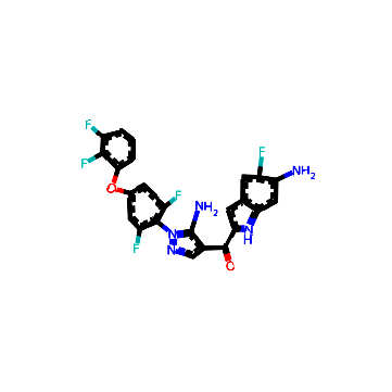 Nc1cc2[nH]c(C(=O)c3cnn(-c4c(F)cc(Oc5cccc(F)c5F)cc4F)c3N)cc2cc1F